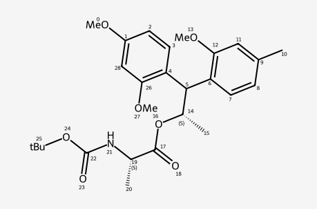 COc1ccc(C(c2ccc(C)cc2OC)[C@H](C)OC(=O)[C@H](C)NC(=O)OC(C)(C)C)c(OC)c1